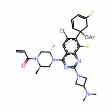 C=CC(=O)N1C[C@H](C)N(c2nc(N3CC(N(C)C)C3)nc3c(F)c(C4(OC(C)=O)C=CC=C(F)C4)c(Cl)cc23)C[C@H]1C